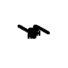 CCCCCCCCCCCCCC(C)OC(=O)CCN(CCNCCO)CCC(=O)OC(C)CCCCCCCCCCCCC